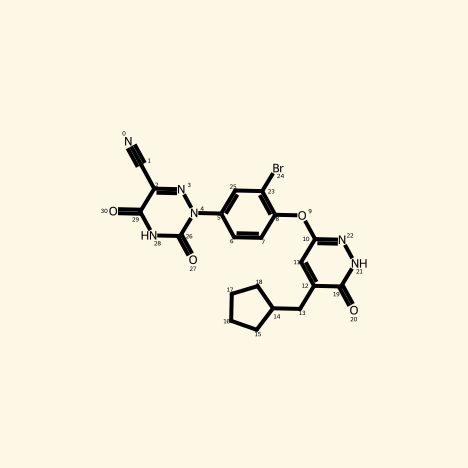 N#Cc1nn(-c2ccc(Oc3cc(CC4CCCC4)c(=O)[nH]n3)c(Br)c2)c(=O)[nH]c1=O